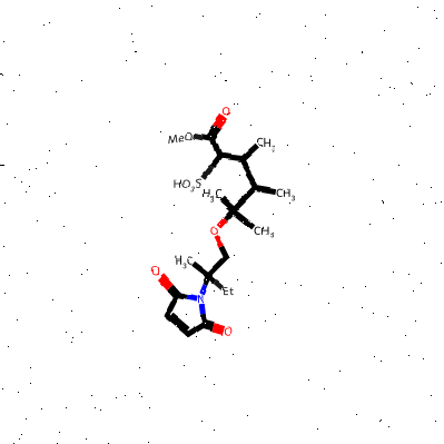 CCC(C)(COC(C)(C)C(C)C(C)C(C(=O)OC)S(=O)(=O)O)N1C(=O)C=CC1=O